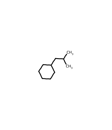 CC(C)CC1CCCCC1